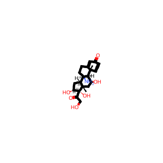 C[C@]12C=CC(=O)C=C1CC[C@]1(N)[C@@H]2[C@@H](O)C[C@@]2(C)[C@H]1C[C@@H](O)[C@]2(O)C(=O)CO